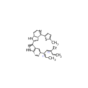 C=C/C(=C\C(=C/C)c1ccc2[nH]nc(-c3cc4c(-c5ccc(C)s5)nccc4[nH]3)c2c1)CC